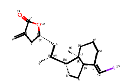 C=C1C[C@@H](C[C@@H](C)[C@H]2CCC3C(=CI)CCC[C@@]32C)OC1=O